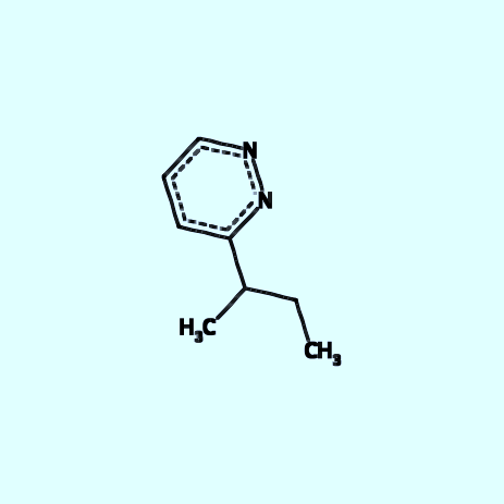 CCC(C)c1cccnn1